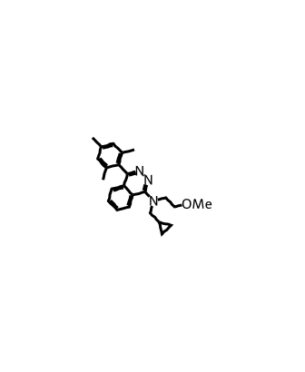 COCCN(CC1CC1)c1nnc(-c2c(C)cc(C)cc2C)c2ccccc12